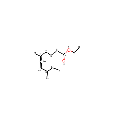 CCOC(=O)CCCC(C)=C=CC(C)CC